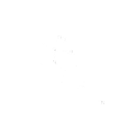 C[Si]1(C)CCCN1C1CC=C(C#N)CC1